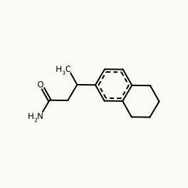 CC(CC(N)=O)c1ccc2c(c1)CCCC2